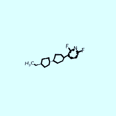 CC[C@H]1CC[C@H](C2CCC(c3ccc(F)nc3F)CC2)CC1